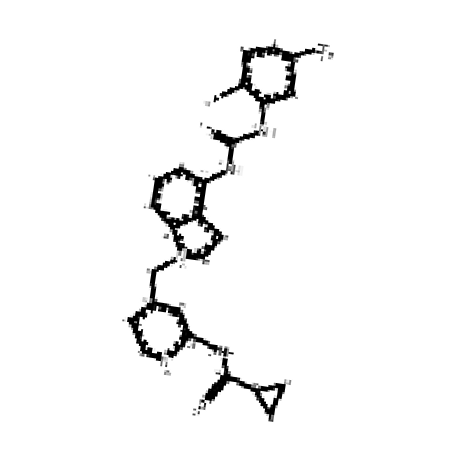 O=C(Nc1cc(C(F)(F)F)ccc1F)Nc1cccc2c1ccn2Cc1ccnc(NC(=O)C2CC2)c1